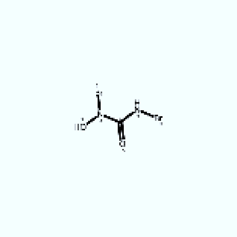 O=C(NBr)N(O)Br